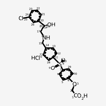 Cl.O=C(O)COc1ccc(S(=O)(=O)c2ccc(CNC[C@H](O)c3cccc(Cl)c3)cc2)cc1